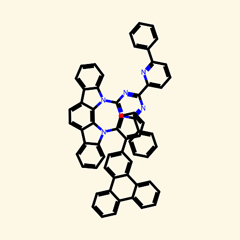 c1ccc(-c2cccc(-c3nc(-c4ccccc4)nc(-n4c5ccccc5c5ccc6c7ccccc7n(-c7ccccc7-c7ccc8c9ccccc9c9ccccc9c8c7)c6c54)n3)n2)cc1